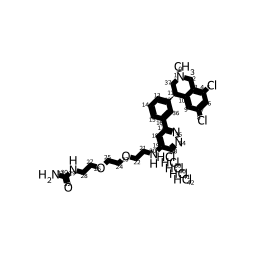 CN1Cc2c(Cl)cc(Cl)cc2[C@H](c2cccc(-c3cc(NCCOCCOCCNC(N)=O)cnn3)c2)C1.Cl.Cl.Cl.Cl.Cl